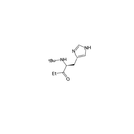 CCC(=O)[C@H](Cc1c[nH]cn1)NC(C)(C)C